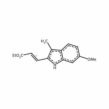 CCOC(=O)/C=C/c1[nH]c2cc(OC)ccc2c1C